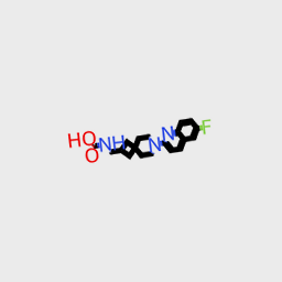 O=C(O)NCC1CC2(CCN(c3ccc4cc(F)ccc4n3)CC2)C1